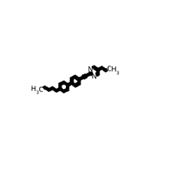 CCCCCC1CCC(c2ccc(C#Cc3ncc(CCC)cn3)cc2)CC1